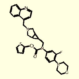 O=C(Oc1cccs1)N(CC1C2CN(Cc3ccnc4ccccc34)CC21)c1ccc(N2CCOCC2)c(F)c1